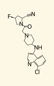 N#CC1C[C@H](F)CN1C(=O)CN1CCC(Nc2ccnc3c(Cl)cccc23)CC1